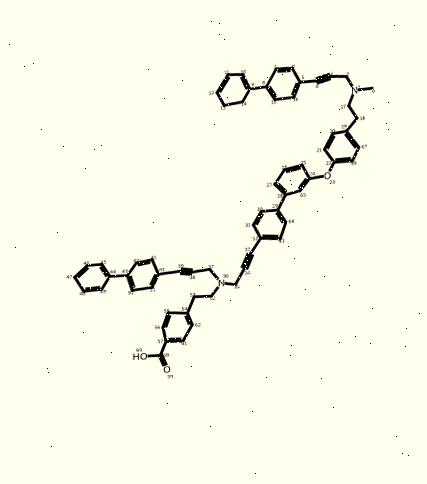 CN(CC#Cc1ccc(C2=CC=CCC2)cc1)CCc1ccc(Oc2cccc(-c3ccc(C#CCN(CC#Cc4ccc(-c5ccccc5)cc4)CCc4ccc(C(=O)O)cc4)cc3)c2)cc1